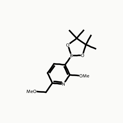 COCc1ccc(B2OC(C)(C)C(C)(C)O2)c(OC)n1